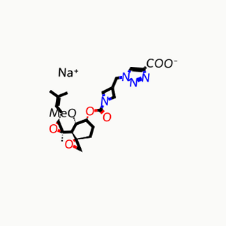 CO[C@@H]1[C@H](OC(=O)N2CC(Cn3cc(C(=O)[O-])nn3)C2)CC[C@]2(CO2)[C@H]1[C@@]1(C)O[C@@H]1CC=C(C)C.[Na+]